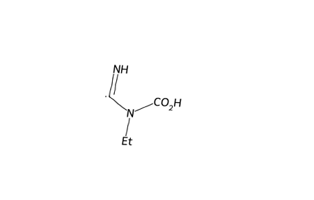 CCN([C]=N)C(=O)O